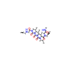 C#CCNCC(=O)N(CCC)C(=O)N(CCC)C(=O)N(CCC)C(=O)N(CCC)CC(=O)N(CC#C)CC(=O)NC